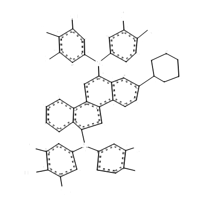 Cc1ccc(N(c2cc(C)c(C)c(C)c2)c2cc3c4ccc(C5CCCCC5)cc4c(N(c4ccc(C)c(C)c4)c4cc(C)c(C)c(C)c4)cc3c3ccccc23)cc1C